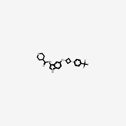 O=C(Nc1c[nH]c2ccc(O[C@H]3C[C@@H](c4ccc(C(F)(F)F)cc4)C3)cc12)C1CCOCC1